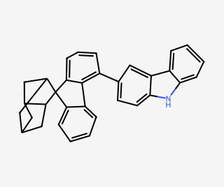 c1ccc2c(c1)-c1c(-c3ccc4[nH]c5ccccc5c4c3)cccc1C21C2CC3CC(C2)C1C3